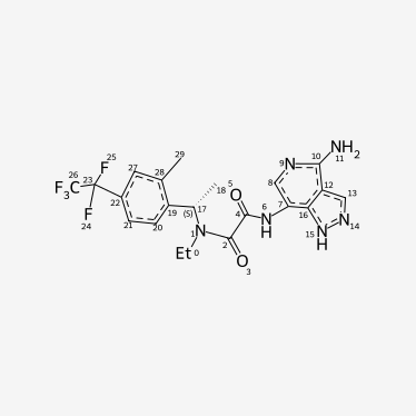 CCN(C(=O)C(=O)Nc1cnc(N)c2cn[nH]c12)[C@@H](C)c1ccc(C(F)(F)C(F)(F)F)cc1C